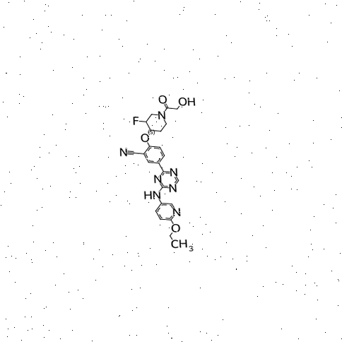 CCOc1ccc(Nc2ncnc(-c3ccc(O[C@H]4CCN(C(=O)CO)CC4F)c(C#N)c3)n2)cn1